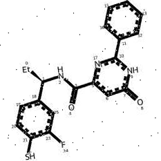 CC[C@@H](NC(=O)c1cc(=O)[nH]c(-c2ccccc2)n1)c1ccc(S)c(F)c1